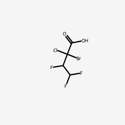 O=C(O)C(Cl)(Br)C(F)C(F)F